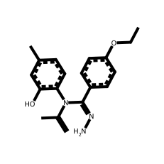 C=C(C)N(/C(=N\N)c1ccc(OCC)cc1)c1ccc(C)cc1O